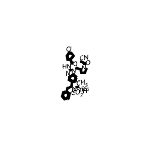 C[C@H](N(C(=O)O)C(Cc1ccccc1)c1ccc2c(c1)nc(NC(=O)c1ccc(Cl)cc1)n2CC1CCCN1C(=O)CC#N)C(C)(C)C